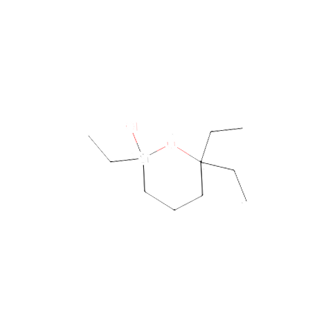 CCC1(CC)CCC[Si](O)(CC)O1